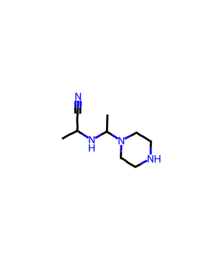 CC(C#N)NC(C)N1CCNCC1